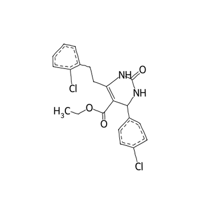 CCOC(=O)C1=C(CCc2ccccc2Cl)NC(=O)NC1c1ccc(Cl)cc1